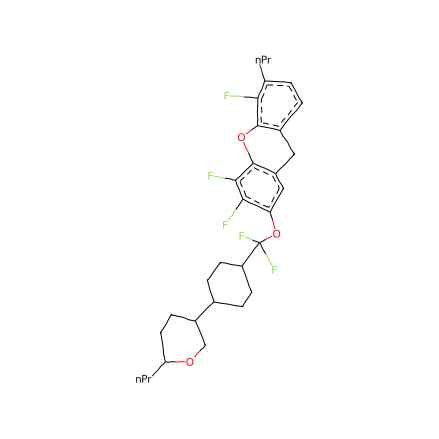 CCCc1ccc2c(c1F)Oc1c(cc(OC(F)(F)C3CCC(C4CCC(CCC)OC4)CC3)c(F)c1F)C2